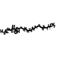 CCCCCCCCCCCCCCCCCCCC(O)NCCC